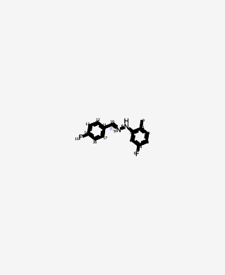 Cc1ccc(F)cc1N/N=C/c1ccc(F)cc1